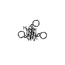 CC1(C(=O)Nc2nc(NC(=O)C3(C)C=CC4(/C=C\C/C=C\C/C=C\C/C=C\4)C3)nc(NC(=O)C3(C)C=CC4(/C=C\C/C=C\C/C=C\C/C=C\4)C3)n2)C=CC2(/C=C\C/C=C\C/C=C\C/C=C\2)C1